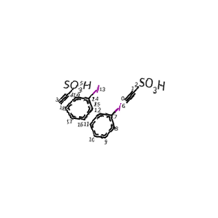 C#CS(=O)(=O)O.C#CS(=O)(=O)O.Ic1ccccc1.Ic1ccccc1